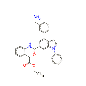 CCOC(=O)Cc1ccccc1NC(=O)c1cc(-c2cccc(CN)c2)c2ccn(-c3ccccc3)c2c1